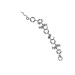 CCCCOc1ccc(-c2csc(NNc3ccc(/N=N/c4ccc(NNc5ccc(N6CCCC6)s5)cc4C)cc3C)n2)cc1